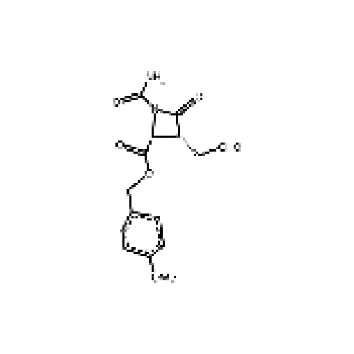 COc1ccc(COC(=O)[C@@H]2[C@@H](CC=O)C(=O)N2C(N)=O)cc1